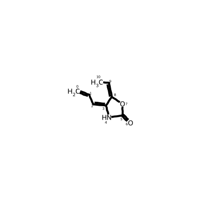 C=C/C=c1/[nH]c(=O)o/c1=C/C